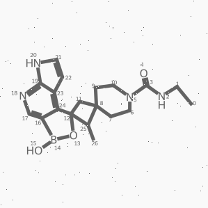 CCNC(=O)N1CCC2(CC1)CC1(OB(O)c3cnc4[nH]ccc4c31)C2C